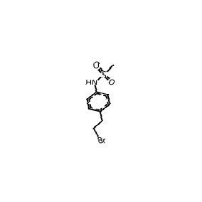 CS(=O)(=O)Nc1ccc(CCBr)cc1